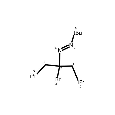 CC(C)CC(Br)(CC(C)C)/N=N/C(C)(C)C